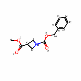 COC(=O)C1CN(C(=O)OCc2ccccc2)C1